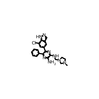 CN1CCN(CNc2nc(-c3cc(Cl)c4[nH]ncc4c3)c(-c3ccccc3)nc2N)C1